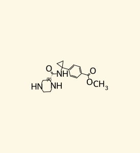 COC(=O)c1ccc(C2(NC(=O)[C@H]3CNCCN3)CC2)cc1